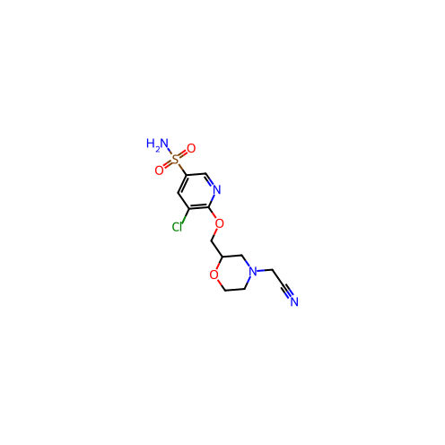 N#CCN1CCOC(COc2ncc(S(N)(=O)=O)cc2Cl)C1